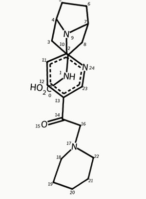 O=C(O)NC1CC2CCC(C1)N2c1ccc(C(=O)CN2CCCCC2)cn1